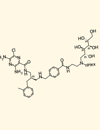 CCCCCCN(CCNC(=O)c1ccc(CNC[C@H](CNC(=O)c2nc(Cl)c(N)nc2N)Cc2ccccc2C)cc1)C[C@@H](O)[C@@H](O)[C@H](O)[C@H](O)CO